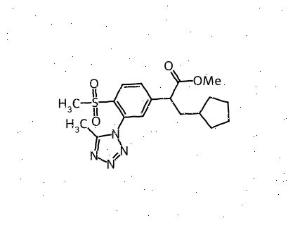 COC(=O)C(CC1CCCC1)c1ccc(S(C)(=O)=O)c(-n2nnnc2C)c1